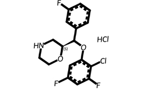 Cl.Fc1cccc(C(Oc2cc(F)cc(F)c2Cl)[C@@H]2CNCCO2)c1